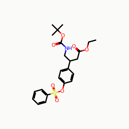 CCOC(=O)CC(CNC(=O)OC(C)(C)C)c1ccc(OS(=O)(=O)c2ccccc2)cc1